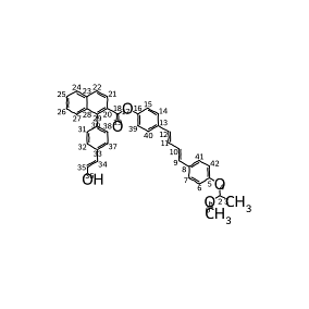 COC(C)Oc1ccc(C=CC=Cc2ccc(OC(=O)c3ccc4ccccc4c3-c3ccc(C=CO)cc3)cc2)cc1